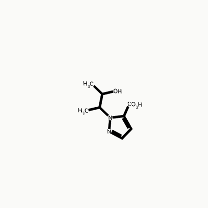 CC(O)C(C)n1nccc1C(=O)O